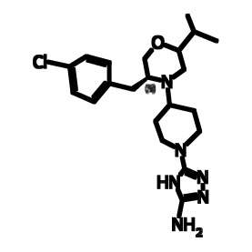 CC(C)C1CN(C2CCN(c3nnc(N)[nH]3)CC2)[C@@H](Cc2ccc(Cl)cc2)CO1